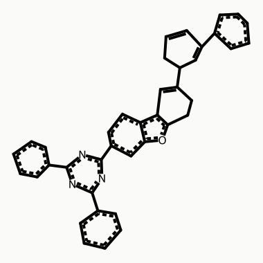 C1=CC(c2ccccc2)=CC(C2=Cc3c(oc4cc(-c5nc(-c6ccccc6)nc(-c6ccccc6)n5)ccc34)CC2)C1